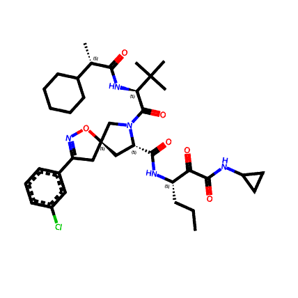 CCC[C@H](NC(=O)[C@@H]1C[C@]2(CC(c3cccc(Cl)c3)=NO2)CN1C(=O)[C@@H](NC(=O)[C@@H](C)C1CCCCC1)C(C)(C)C)C(=O)C(=O)NC1CC1